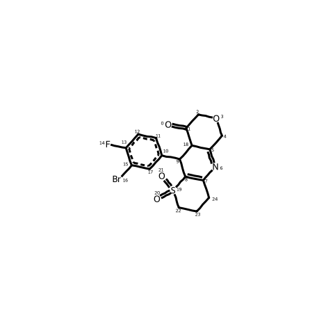 O=C1COCC2=NC3=C(C(c4ccc(F)c(Br)c4)C12)S(=O)(=O)CCC3